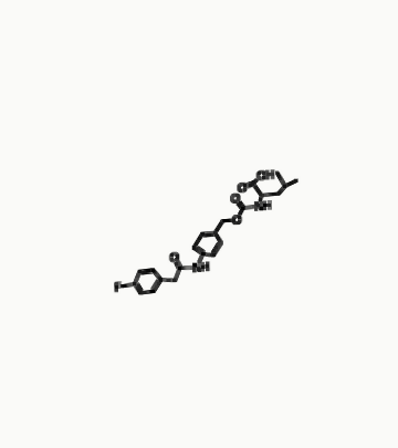 CC(C)CC(NC(=O)OCc1ccc(NC(=O)Cc2ccc(F)cc2)cc1)C(=O)O